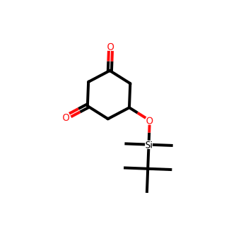 CC(C)(C)[Si](C)(C)OC1CC(=O)CC(=O)C1